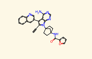 C#Cc1c(-c2cnc3ccccc3c2)c2c(N)ncnc2n1C12CCC(NC(=O)c3ccco3)(CC1)C2